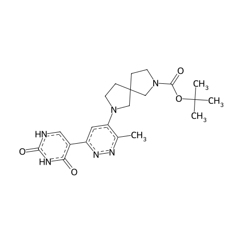 Cc1nnc(-c2c[nH]c(=O)[nH]c2=O)cc1N1CCC2(CCN(C(=O)OC(C)(C)C)C2)C1